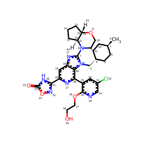 C[C@H]1CC[C@H](Cn2c(N3CCO[C@H]4CCC[C@@H]43)nc3cc(-c4noc(=O)[nH]4)nc(-c4cc(Cl)cnc4OCCO)c32)CC1